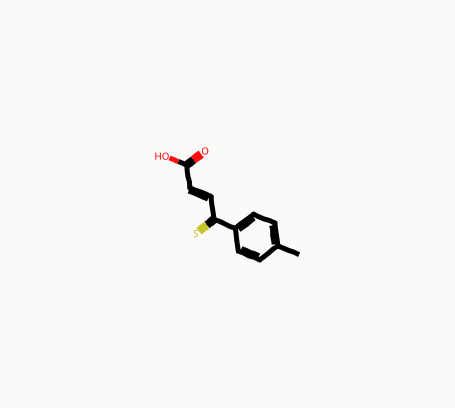 Cc1ccc(C(=S)/C=C/C(=O)O)cc1